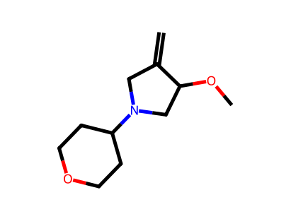 C=C1CN(C2CCOCC2)CC1OC